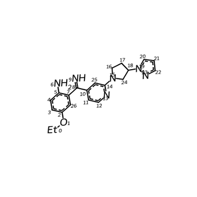 CCOc1ccc(N)c(C(=N)c2ccnc(N3CCC(n4cccn4)C3)c2)c1